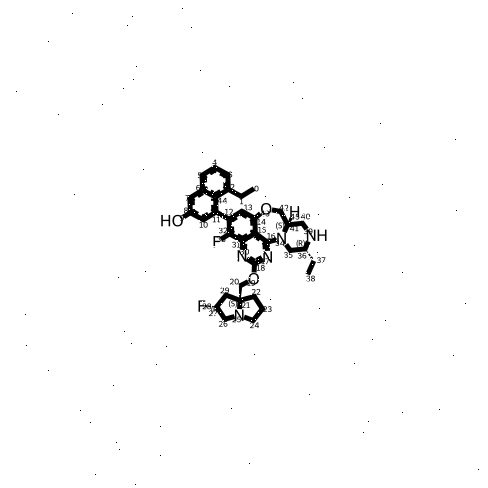 CCc1cccc2cc(O)cc(-c3cc4c5c(nc(OC[C@@]67CCCN6C[C@H](F)C7)nc5c3F)N3C[C@@H](CC)NC[C@H]3CO4)c12